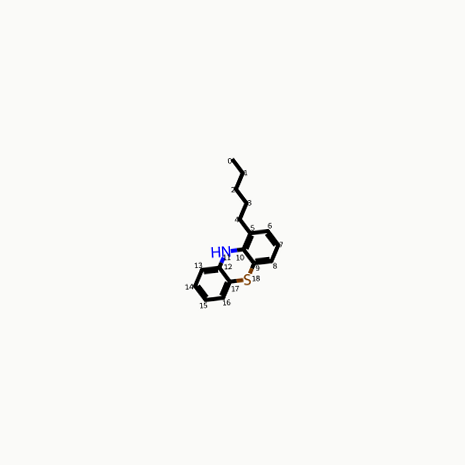 CCCCCc1cccc2c1Nc1ccccc1S2